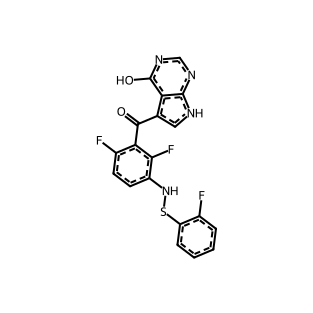 O=C(c1c(F)ccc(NSc2ccccc2F)c1F)c1c[nH]c2ncnc(O)c12